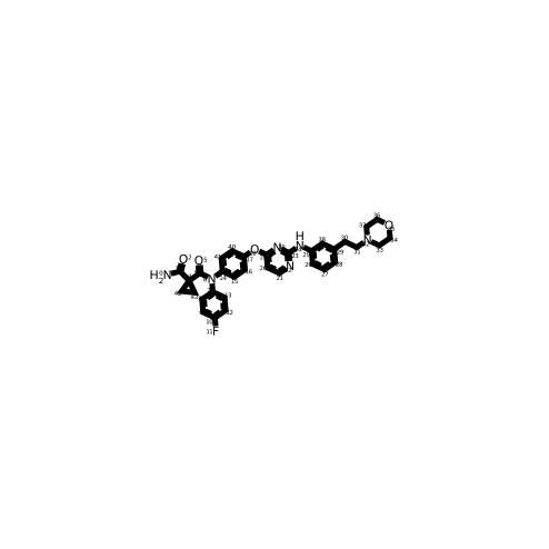 NC(=O)C1(C(=O)N(c2ccc(F)cc2)c2ccc(Oc3ccnc(Nc4cccc(CCN5CCOCC5)c4)n3)cc2)CC1